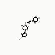 FC(F)(F)c1csc(N2CCN(CC#Cc3ccccc3)CC2)n1